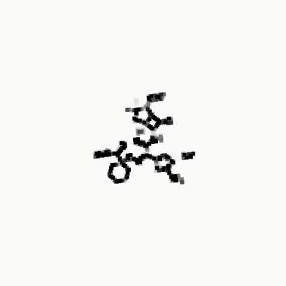 COC(=O)C1(O/N=C(\C(=O)N[C@H]2C(=O)N3[C@@H]2SC(C)(C)[C@@H]3C(=O)[O-])c2csc(N)n2)CCCCC1.[Na+]